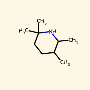 CC1[CH]CC(C)(C)NC1C